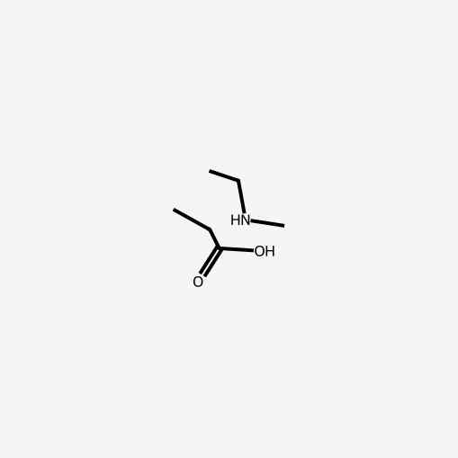 CCC(=O)O.CCNC